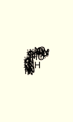 CN1CCC(O)(c2cc(-c3cccc(-c4ccnc(Nc5nnnn5C)n4)n3)no2)C1=O